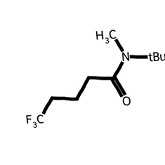 CN(C(=O)CCCC(F)(F)F)C(C)(C)C